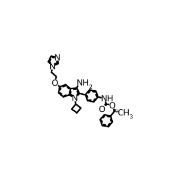 C[C@@H](OC(=O)Nc1ccc(-c2c(N)c3cc(OCCn4ccnc4)ccc3n2C2CCC2)cc1)c1ccccc1